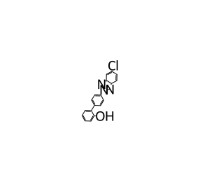 Oc1ccccc1-c1ccc(-n2nc3ccc(Cl)cc3n2)cc1